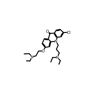 CCN(CC)CCCn1c2cc(Cl)ccc2c(=O)c2ccc(OCCN(CC)CC)cc21